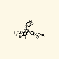 CC(C)(C)OC(=O)N1CC2(CCN(c3nc(OC4CCS(=O)(=O)CC4)nc4c(OCC(F)(F)F)c(Br)c(I)cc34)CC2)C1